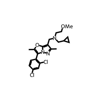 COCCN(Cc1c(C)nn2c(-c3ccc(Cl)cc3Cl)c(C)oc12)CC1CC1